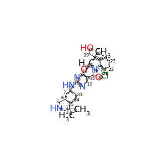 CC1(C)CNCc2cc(Nc3ncc4c(n3)OCN(c3c(Cl)cccc3C(C)(C)CO)C4=O)ccc21